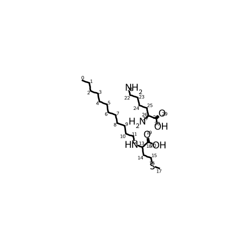 CCCCCCCCCCCCNC(CCSC)C(=O)O.NCCCCC(N)C(=O)O